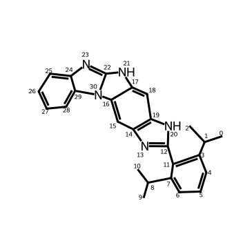 CC(C)c1cccc(C(C)C)c1-c1nc2cc3c(cc2[nH]1)[nH]c1nc2ccccc2n13